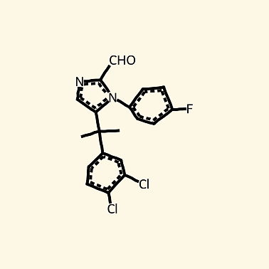 CC(C)(c1ccc(Cl)c(Cl)c1)c1cnc(C=O)n1-c1ccc(F)cc1